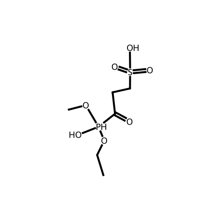 CCO[PH](O)(OC)C(=O)CCS(=O)(=O)O